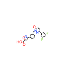 O=C(O)c1cc(-c2cccc(Cn3nc(-c4cc(F)cc(F)c4)ccc3=O)c2)no1